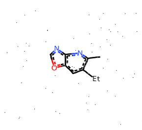 CCc1cc2ocnc2nc1C